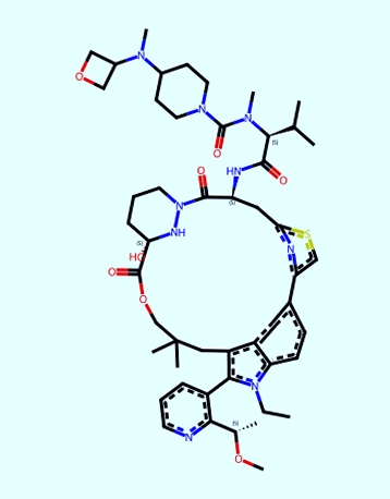 CCn1c(-c2cccnc2[C@H](C)OC)c2c3cc(ccc31)-c1csc(n1)C[C@H](NC(=O)[C@H](C(C)C)N(C)C(=O)N1CCC(N(C)C3COC3)CC1)C(=O)N1CCC[C@@](O)(N1)C(=O)OCC(C)(C)C2